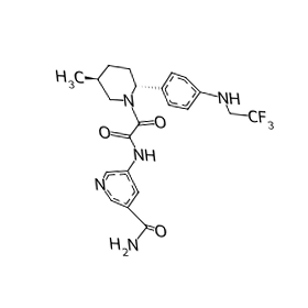 C[C@H]1CC[C@H](c2ccc(NCC(F)(F)F)cc2)N(C(=O)C(=O)Nc2cncc(C(N)=O)c2)C1